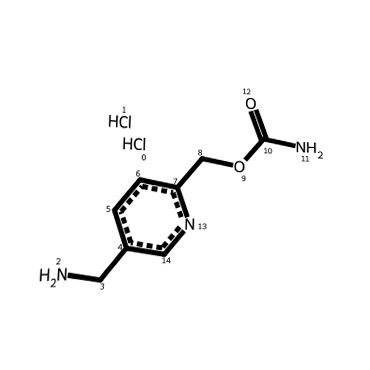 Cl.Cl.NCc1ccc(COC(N)=O)nc1